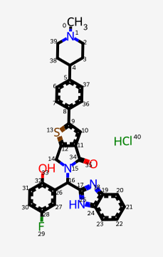 CN1CCC(c2ccc(-c3cc4c(s3)CN(C(c3nc5ccccc5[nH]3)c3cc(F)ccc3O)C4=O)cc2)CC1.Cl